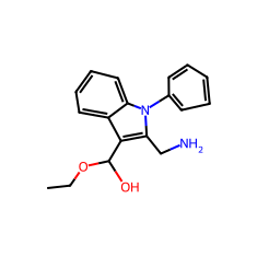 CCOC(O)c1c(CN)n(-c2ccccc2)c2ccccc12